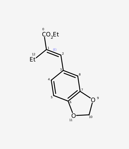 CCOC(=O)/C(=C/c1ccc2c(c1)OCO2)CC